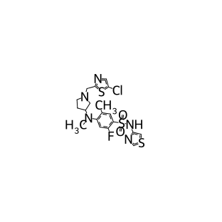 Cc1cc(S(=O)(=O)Nc2cscn2)c(F)cc1N(C)C1CCN(Cc2ncc(Cl)s2)C1